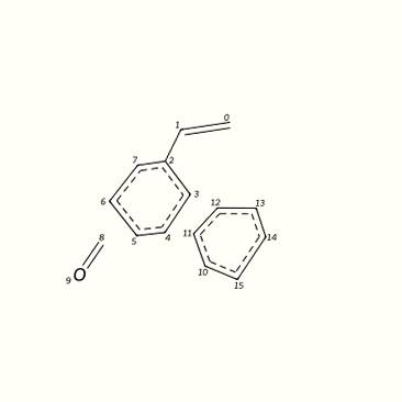 C=Cc1ccccc1.C=O.c1ccccc1